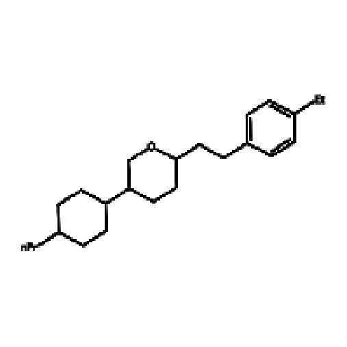 CCCC1CCC(C2CCC(CCc3ccc(CC)cc3)OC2)CC1